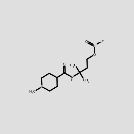 CN1CCC(C(=O)NC(C)(C)CCO[N+](=O)[O-])CC1